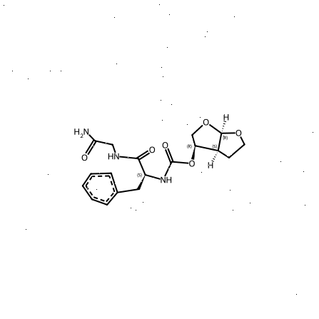 NC(=O)CNC(=O)[C@H](Cc1ccccc1)NC(=O)O[C@H]1CO[C@H]2OCC[C@H]21